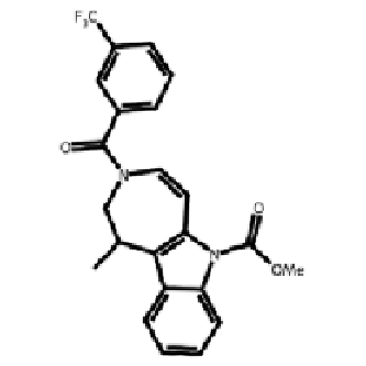 COC(=O)n1c2c(c3ccccc31)C(C)CN(C(=O)c1cccc(C(F)(F)F)c1)C=C2